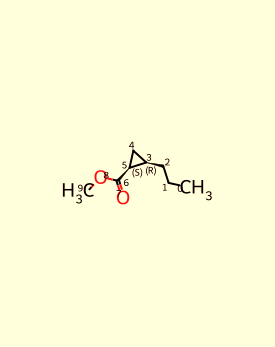 CCC[C@@H]1C[C@@H]1C(=O)OC